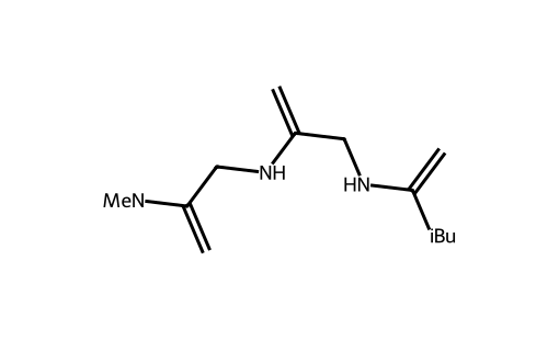 C=C(CNC(=C)CNC(=C)C(C)CC)NC